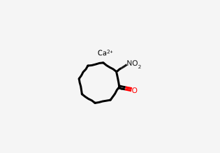 O=C1CCCCCCC1[N+](=O)[O-].[Ca+2]